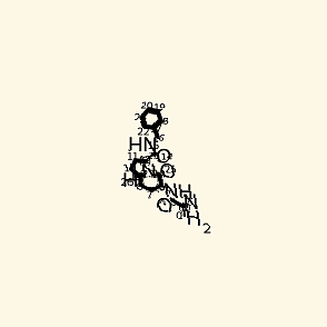 C[C@H](N)C(=O)N[C@H]1CC[C@H]2CC[C@@H](C(=O)NCc3ccccc3)N2C1=O